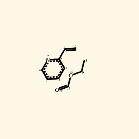 C=Cc1ccccn1.CCOC=O